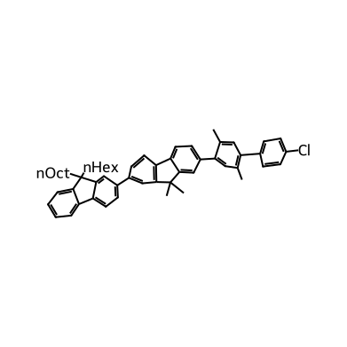 CCCCCCCCC1(CCCCCC)c2ccccc2-c2ccc(-c3ccc4c(c3)C(C)(C)c3cc(-c5cc(C)c(-c6ccc(Cl)cc6)cc5C)ccc3-4)cc21